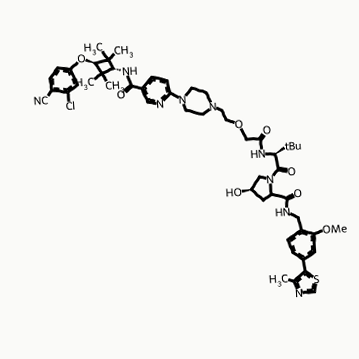 COc1cc(-c2scnc2C)ccc1CNC(=O)C1C[C@@H](O)CN1C(=O)[C@@H](NC(=O)COCCN1CCN(c2ccc(C(=O)N[C@H]3C(C)(C)[C@H](Oc4ccc(C#N)c(Cl)c4)C3(C)C)cn2)CC1)C(C)(C)C